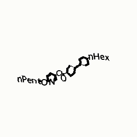 CCCCCC[C@H]1CC[C@H]([C@H]2CC[C@H](C(=O)Oc3ccc(OCCCCC)nc3)CC2)CC1